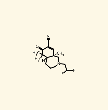 CC1(C)C(=O)C(C#N)=C[C@@]2(C)CN(CC(F)F)CCC[C@H]12